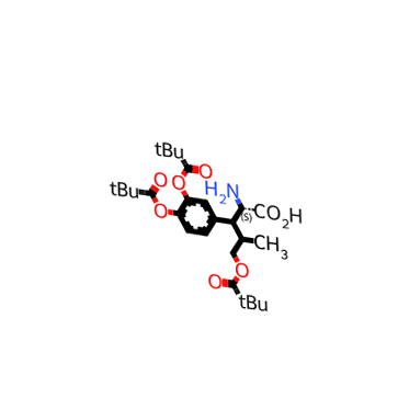 CC(COC(=O)C(C)(C)C)C(c1ccc(OC(=O)C(C)(C)C)c(OC(=O)C(C)(C)C)c1)[C@H](N)C(=O)O